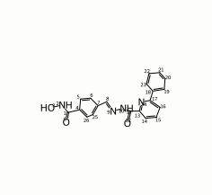 O=C(NO)c1ccc(C=NNC(=O)c2cccc(-c3ccccc3)n2)cc1